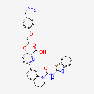 NCc1ccc(OCCOc2ccc(-c3ccc4c(c3)N(C(=O)Nc3nc5ccccc5s3)CCC4)nc2C(=O)O)cc1